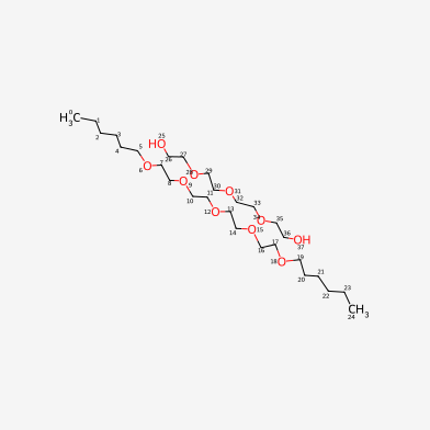 CCCCCCOCCOCCOCCOCCOCCCCCC.OCCOCCOCCOCCO